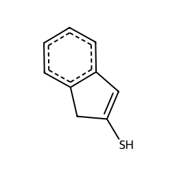 SC1=Cc2ccccc2C1